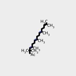 CC(=O)CC(C)(C)/C=C(\C)CC/C=C(\C)CC/C=C(\C)CCC=C(C)C